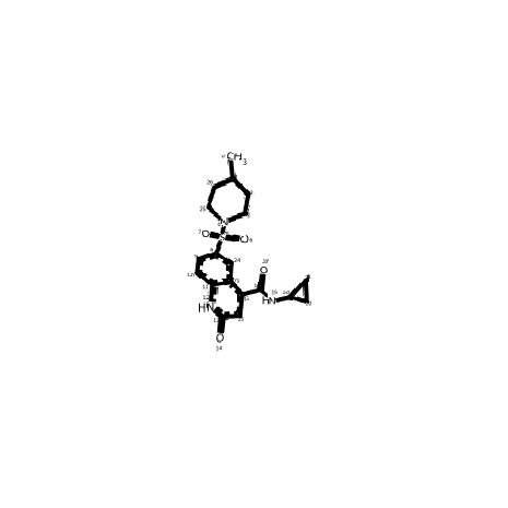 CC1CCN(S(=O)(=O)c2ccc3[nH]c(=O)cc(C(=O)NC4CC4)c3c2)CC1